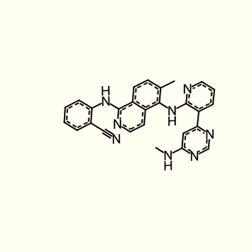 CNc1cc(-c2cccnc2Nc2c(C)ccc3c(Nc4ccccc4C#N)nccc23)ncn1